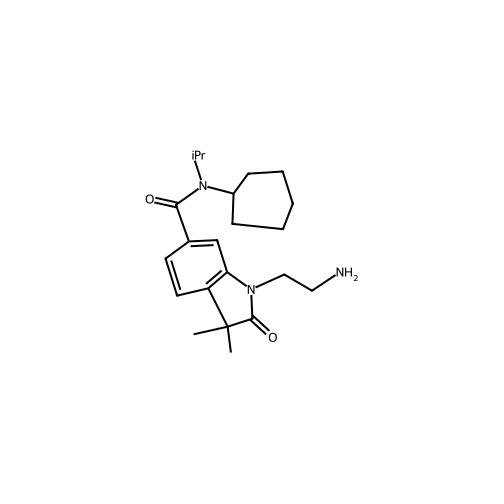 CC(C)N(C(=O)c1ccc2c(c1)N(CCN)C(=O)C2(C)C)C1CCCCC1